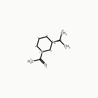 CC(=O)N1CCC[C@@H](C(C)C)C1